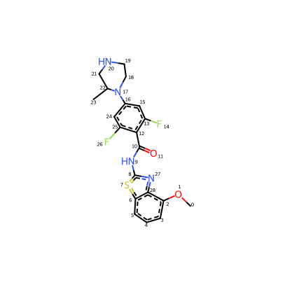 COc1cccc2sc(NC(=O)c3c(F)cc(N4CCNCC4C)cc3F)nc12